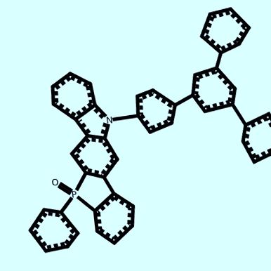 O=P1(c2ccccc2)c2ccccc2-c2cc3c(cc21)c1ccccc1n3-c1ccc(-c2cc(-c3ccccc3)cc(-c3ccccc3)c2)cc1